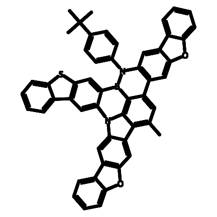 Cc1cc2c3c4c1c1cc5oc6ccccc6c5cc1n4-c1cc4c(cc1B3N(c1ccc(C(C)(C)C)cc1)c1cc3c(cc1-2)oc1ccccc13)sc1ccccc14